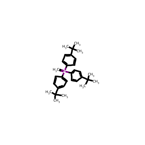 C=P(c1ccc(C(C)(C)C)cc1)(c1ccc(C(C)(C)C)cc1)c1ccc(C(C)(C)C)cc1